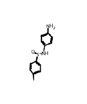 Cc1ccc([S+]([O-])Nc2ccc(N)cc2)cc1